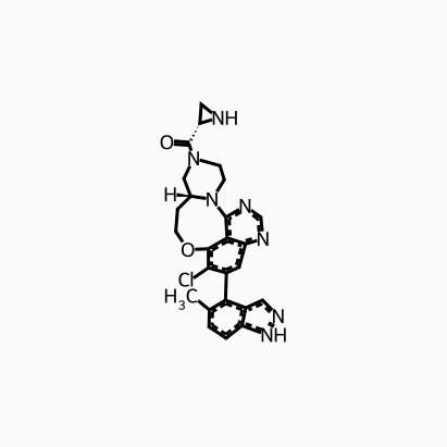 Cc1ccc2[nH]ncc2c1-c1cc2ncnc3c2c(c1Cl)OCC[C@@H]1CN(C(=O)[C@@H]2CN2)CCN31